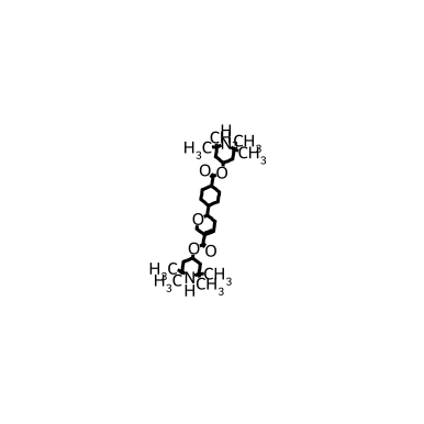 CC1(C)CC(OC(=O)C2=CCC(C3CCC(C(=O)OC4CC(C)(C)NC(C)(C)C4)CC3)OC2)CC(C)(C)N1